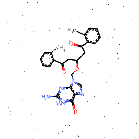 Cc1ccccc1C(=O)CC(CC(=O)c1ccccc1C)OCn1cnc2c(=O)[nH]c(N)nc21